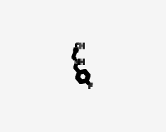 C#CCNCc1ccc(F)cc1